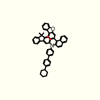 CC1(C)c2ccccc2-c2cc(N(c3ccc(-c4ccc(C5CCCCC5)cc4)cc3)c3ccc4ccccc4c3-c3ccc4c(c3)oc3ccccc34)ccc21